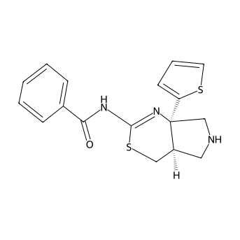 O=C(NC1=N[C@@]2(c3cccs3)CNC[C@H]2CS1)c1ccccc1